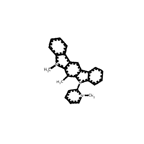 Cc1c2c(cc3c4ccccc4n(-c4cccc[n+]4C)c13)c1ccccc1n2C